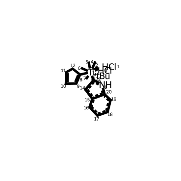 Cl.Cl.[CH2]=[Ti]([CH3])([CH3])([CH3])([CH3])([C]1=CC=CC1)([c]1cc2ccccc2[nH]1)[C](C)(C)C